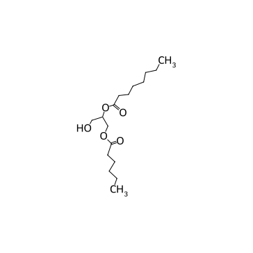 CCCCCCCC(=O)OC(CO)COC(=O)CCCCC